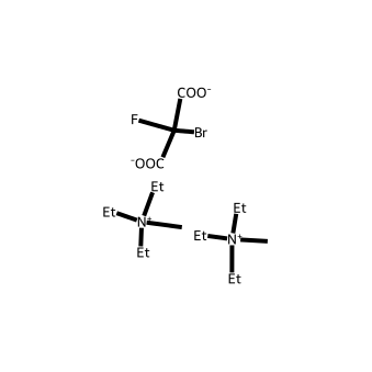 CC[N+](C)(CC)CC.CC[N+](C)(CC)CC.O=C([O-])C(F)(Br)C(=O)[O-]